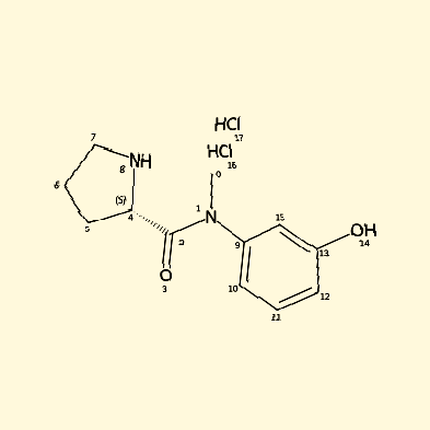 CN(C(=O)[C@@H]1CCCN1)c1cccc(O)c1.Cl.Cl